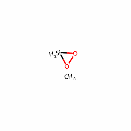 C.O1O[SiH2]1